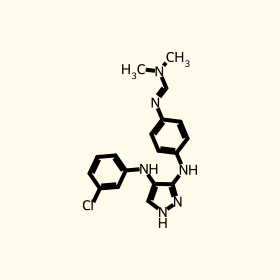 CN(C)C=Nc1ccc(Nc2n[nH]cc2Nc2cccc(Cl)c2)cc1